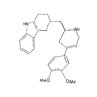 COc1ccc(C2=CCNC(CC3CCc4[nH]c5ccccc5c4C3)C2)cc1OC